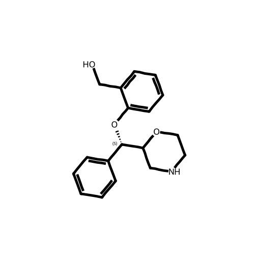 OCc1ccccc1O[C@@H](c1ccccc1)C1CNCCO1